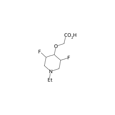 CCN1CC(F)C(OCC(=O)O)C(F)C1